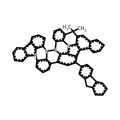 CC1(C)c2cccc3c2-n2c4c5c(cc(-c6ccc7c(c6)Cc6ccccc6-7)c4c4c6ccccc6cc1c42)-c1cccc2c1N(B35)c1cccc3c4ccccc4n-2c13